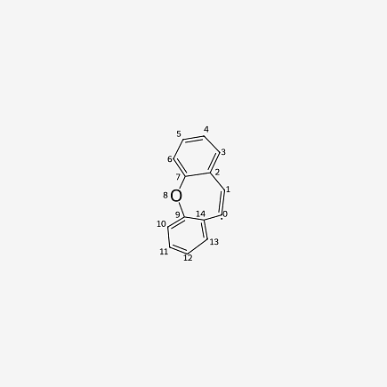 [C]1=Cc2ccccc2Oc2ccccc21